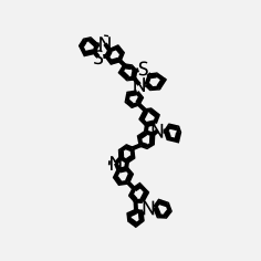 CN1c2ccccc2Sc2cc(-c3ccc4c(c3)Sc3ccccc3N4c3cccc(-c4ccc5c(c4)c4cc(-c6ccc7c(c6)c6cc(-c8ccc9c(c8)c8ccccc8n9-c8ccccc8)ccc6n7C)ccc4n5-c4ccccc4)c3)ccc21